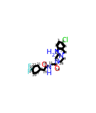 Nc1ccc(Cl)cc1CN1CCN(C(=O)CNC(=O)CC2CCC(F)(F)CC2)CC1